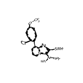 CCCN(CCC)c1c(SC)nc2c(-c3ccc(OC(F)(F)F)cc3Cl)cccn12